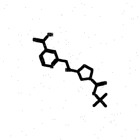 CC(C)(C)OC(=O)N1CCC(NCc2cc(C(=O)O)ccn2)C1